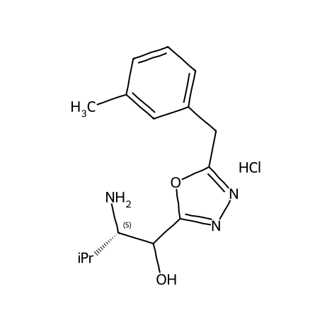 Cc1cccc(Cc2nnc(C(O)[C@@H](N)C(C)C)o2)c1.Cl